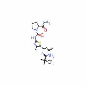 C=C/C=C(\N=C(/N)C(C)(C)C(F)(F)F)c1sc(NC(=O)N2CCC[C@H]2C(N)=O)nc1C